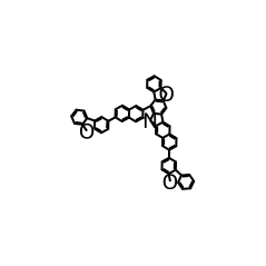 c1ccc2c(c1)oc1ccc(-c3ccc4cc5c6cc7oc8ccccc8c7c7c8cc9ccc(-c%10ccc%11oc%12ccccc%12c%11c%10)cc9cc8n(c5cc4c3)c67)cc12